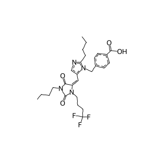 CCCCc1ncc(/C=C2\C(=O)N(CCCC)C(=O)N2CCCC(F)(F)F)n1Cc1ccc(C(=O)O)cc1